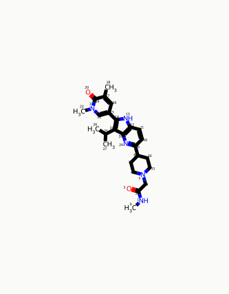 CNC(=O)CN1CCC(c2ccc3[nH]c(-c4cc(C)c(=O)n(C)c4)c(C(C)C)c3n2)CC1